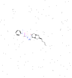 O=C(O)CCCC=C1C[C@H]2C[C@@H](O)[C@H](/C=N\NC(=O)Nc3ccccc3)[C@H]2C1